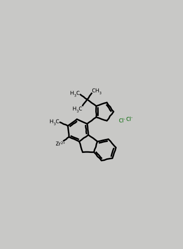 Cc1cc(C2=C(C(C)(C)C)C=CC2)c2c([c]1[Zr+2])Cc1ccccc1-2.[Cl-].[Cl-]